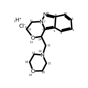 [Cl-].[H+].c1ccc2c3n(nc2c1)CCOC3CN1CCOCC1